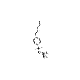 C=CCOCc1ccc(C(C)(C)O[SiH2]C(C)(C)C)cc1